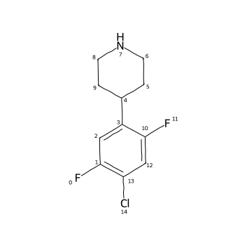 Fc1cc(C2CCNCC2)c(F)cc1Cl